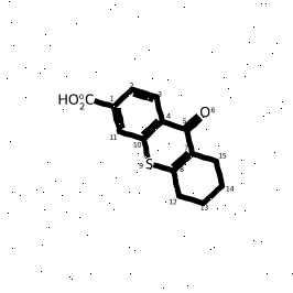 O=C(O)c1ccc2c(=O)c3c(sc2c1)CCCC3